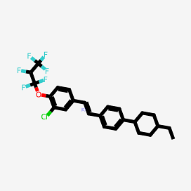 CCC1CCC(c2ccc(/C=C/c3ccc(OC(F)(F)C(F)C(F)(F)F)c(Cl)c3)cc2)CC1